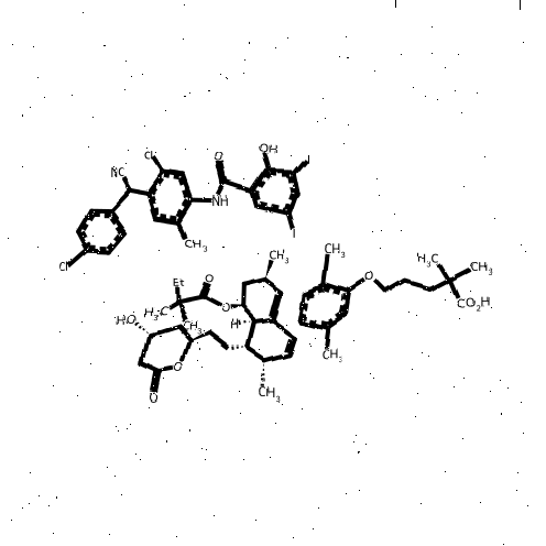 CCC(C)(C)C(=O)O[C@H]1C[C@@H](C)C=C2C=C[C@H](C)[C@H](CC[C@@H]3C[C@@H](O)CC(=O)O3)[C@H]21.Cc1cc(C(C#N)c2ccc(Cl)cc2)c(Cl)cc1NC(=O)c1cc(I)cc(I)c1O.Cc1ccc(C)c(OCCCC(C)(C)C(=O)O)c1